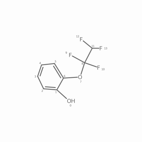 Oc1ccccc1OC(F)(F)C(F)F